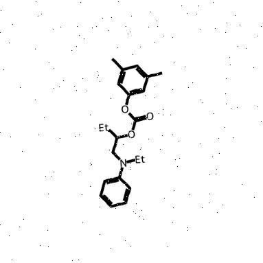 CCC(CN(CC)c1ccccc1)OC(=O)Oc1cc(C)cc(C)c1